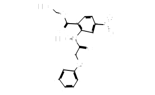 CCOC(=O)c1ccc([N+](=O)[O-])cc1N(C)C(=O)COc1ccccc1